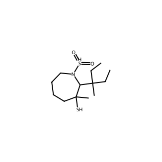 CCC(C)(CC)C1N([SH](=O)=O)CCCCC1(C)S